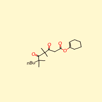 CCCCC(C)(C)C(=O)C(C)(C)C(=O)CC(=O)OC1=CCCCC1